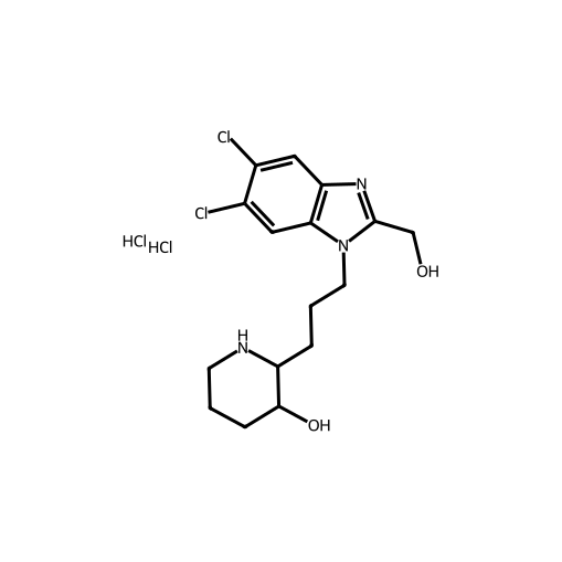 Cl.Cl.OCc1nc2cc(Cl)c(Cl)cc2n1CCCC1NCCCC1O